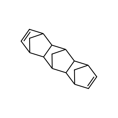 C1=CC2CC1C1C3CC(C21)C1C2C=CC(C2)C31